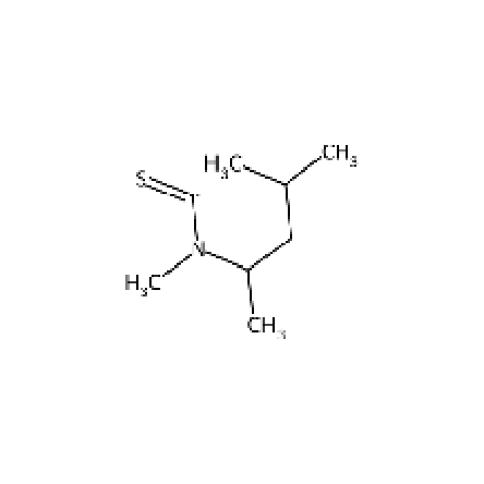 CC(C)CC(C)N(C)[C]=S